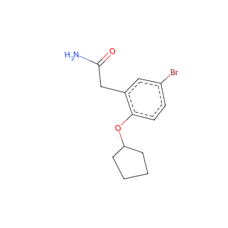 NC(=O)Cc1cc(Br)ccc1OC1CCCC1